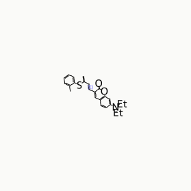 C=C(/C=C/c1cc2ccc(N(CC)CC)cc2oc1=O)Sc1ccccc1C